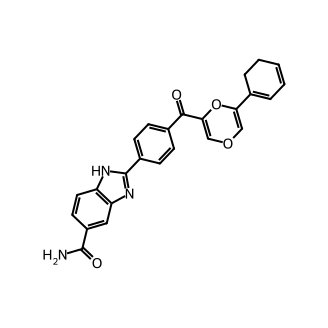 NC(=O)c1ccc2[nH]c(-c3ccc(C(=O)C4=COC=C(C5=CC=CCC5)O4)cc3)nc2c1